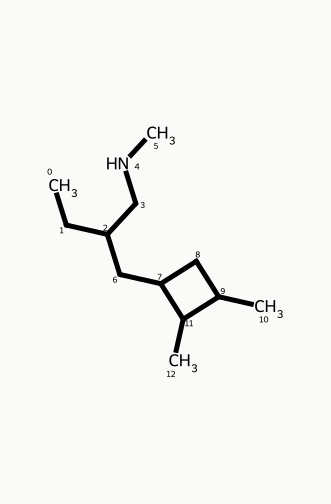 CCC(CNC)CC1CC(C)C1C